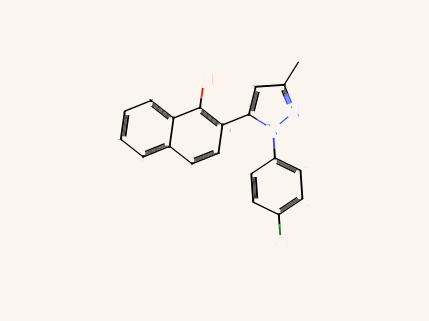 Cc1cc(-c2ccc3ccccc3c2O)n(-c2ccc(Cl)cc2)n1